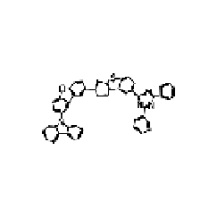 c1ccc(-c2nc(-c3ccccc3)nc(-c3ccc4sc5cc(-c6ccc7oc8ccc(-n9c%10ccccc%10c%10ccccc%109)cc8c7c6)ccc5c4c3)n2)cc1